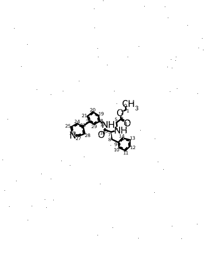 CCOC(=O)CN[C@@H](Cc1ccccc1)C(=O)Nc1cccc(-c2ccncc2)c1